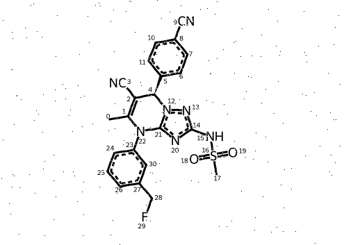 CC1=C(C#N)[C@@H](c2ccc(C#N)cc2)n2nc(NS(C)(=O)=O)nc2N1c1cccc(CF)c1